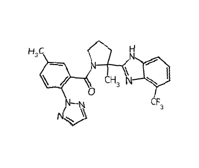 Cc1ccc(-n2nccn2)c(C(=O)N2CCCC2(C)c2nc3c(C(F)(F)F)cccc3[nH]2)c1